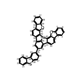 c1ccc2c(c1)oc1c2ccc2c3cc(-c4ccc5sc6ccccc6c5c4)cc4c5ccc6c7ccccc7oc6c5n(c34)c21